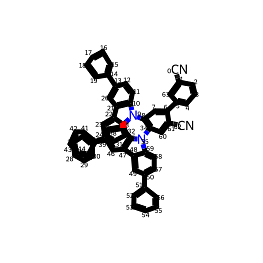 N#Cc1cccc(-c2cc(-n3c4ccc(-c5ccccc5)cc4c4cc(-c5ccccc5)ccc43)c(-n3c4ccc(-c5ccccc5)cc4c4cc(-c5ccccc5)ccc43)cc2C#N)c1